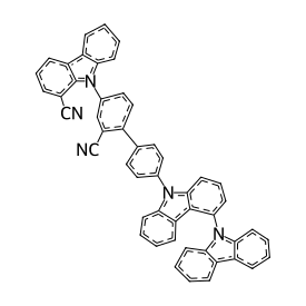 N#Cc1cc(-n2c3ccccc3c3cccc(C#N)c32)ccc1-c1ccc(-n2c3ccccc3c3c(-n4c5ccccc5c5ccccc54)cccc32)cc1